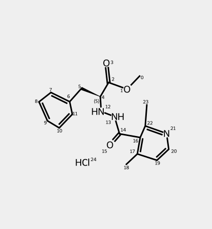 COC(=O)[C@H](Cc1ccccc1)NNC(=O)c1c(C)ccnc1C.Cl